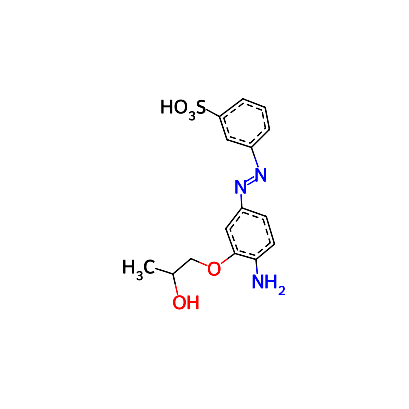 CC(O)COc1cc(/N=N/c2cccc(S(=O)(=O)O)c2)ccc1N